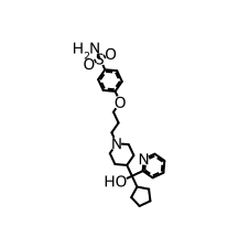 NS(=O)(=O)c1ccc(OCCCN2CCC(C(O)(c3ccccn3)C3CCCC3)CC2)cc1